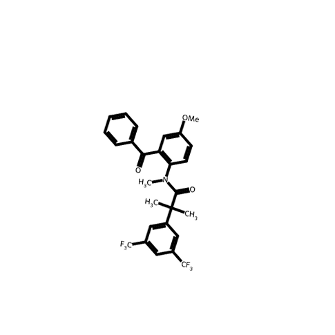 COc1ccc(N(C)C(=O)C(C)(C)c2cc(C(F)(F)F)cc(C(F)(F)F)c2)c(C(=O)c2ccccc2)c1